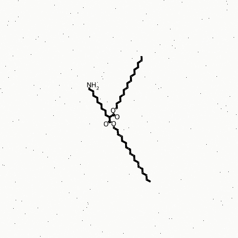 CCCCCCCCCCCCCCCCCCOC(=O)C(CCCCCCCCCN)C(=O)OCCCCCCCCCCCCCCCC